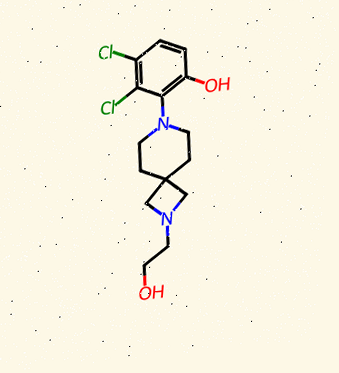 OCCN1CC2(CCN(c3c(O)ccc(Cl)c3Cl)CC2)C1